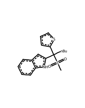 CCCCC(c1cc2ccccc2[nH]1)(c1cccs1)S(C)(=O)=O